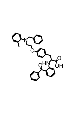 Cc1ccccc1N(CCOc1ccc(CC(Nc2ccccc2C(=O)c2ccccc2)C(=O)O)cc1)Cc1ccccc1